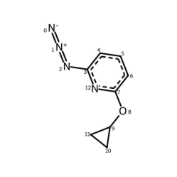 [N-]=[N+]=Nc1cccc(OC2CC2)n1